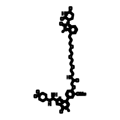 COc1cc(-c2cn(C)c(=O)c3cc(C(=N)NC4CCS(=O)(=O)CC4)sc23)ccc1OCC(=O)NCCOCCOCCOCCCc1cccc2c1n(C)c(=O)n2C1CCC(=O)NC1=O